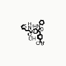 CN(C)C(=O)c1ccc(CC2(C(=O)NC3CCCCC3)CCN(C(=O)C(N)Cc3cccs3)CC2)cc1.Cl